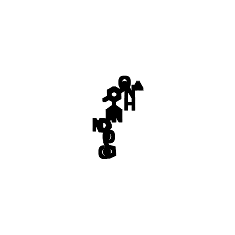 Cc1ccc(C(=O)NC2CC2)cc1-c1cnn(-c2cncc(OCC3CCCO3)c2)c1